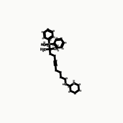 CC(C)(CCC#CCCCCOC1CCCCO1)[Si](O)(c1ccccc1)c1ccccc1